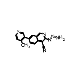 Cc1ccncc1-c1ccc2c(C#N)c(N=NN)ncc2c1